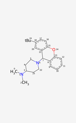 CN(C)C1CCN(C2c3ccccc3Oc3ccc(C(C)(C)C)cc32)CC1